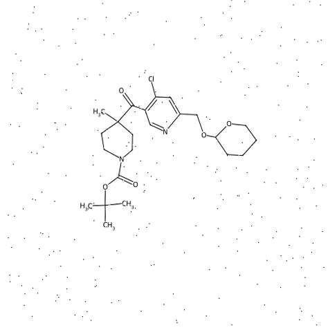 CC(C)(C)OC(=O)N1CCC(C)(C(=O)c2cnc(COC3CCCCO3)cc2Cl)CC1